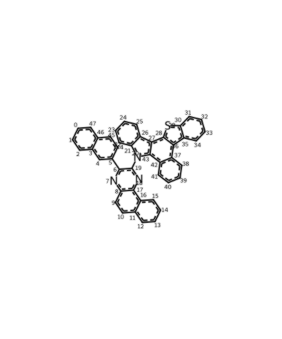 c1ccc2cc(-c3nc4ccc5ccccc5c4nc3-n3c4ccccc4c4c5sc6ccccc6c5c5ccccc5c43)ccc2c1